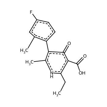 CCc1[nH]c(C)c(-c2ccc(F)cc2C)c(=O)c1C(=O)O